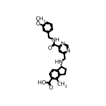 COc1cccc(CNC(=O)c2cc(CN[C@H]3CCc4c3ccc(C(=O)O)c4C)ncn2)c1